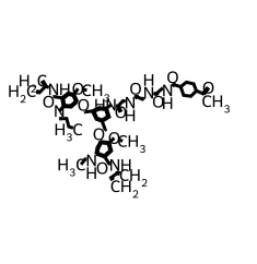 C=CC(=C)NC(=O)c1cc(OC)c(OCc2cc(COc3cc(NCC)c(C(=O)NC(=C)C=C)cc3OC)cc(NC(=O)CNC(=O)CNC(=O)CNC(=O)C3CCC(C(C)=O)CC3)c2)cc1/N=C\CCC